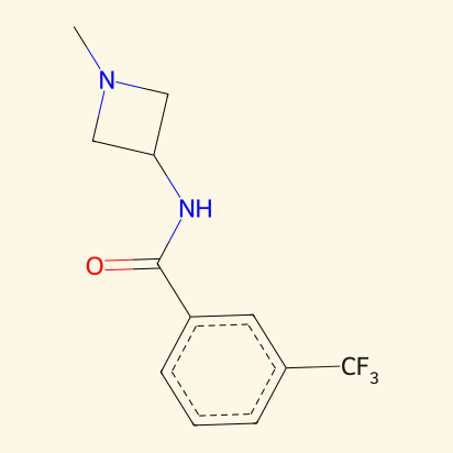 CN1CC(NC(=O)c2cccc(C(F)(F)F)c2)C1